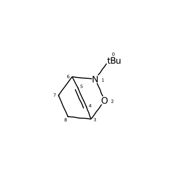 CC(C)(C)N1OC2C=CC1CC2